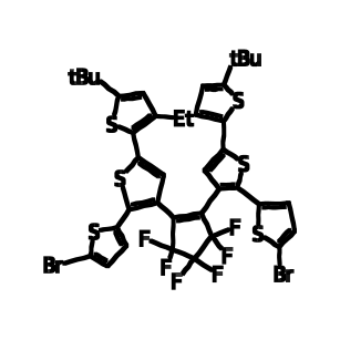 CCc1cc(C(C)(C)C)sc1-c1cc(C2=C(c3cc(-c4ccc(C(C)(C)C)s4)sc3-c3ccc(Br)s3)C(F)(F)C(F)(F)C2(F)F)c(-c2ccc(Br)s2)s1